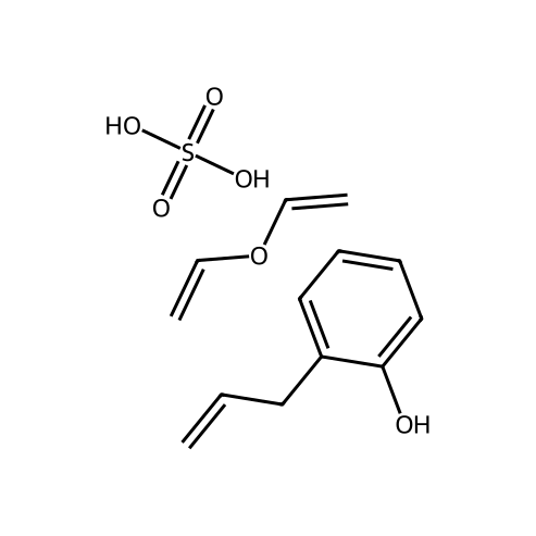 C=CCc1ccccc1O.C=COC=C.O=S(=O)(O)O